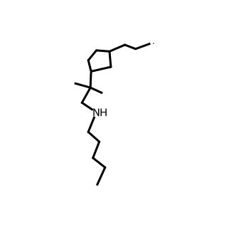 [CH2]CCC1CCC(C(C)(C)CNCCCCC)C1